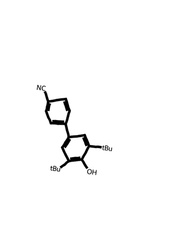 CC(C)(C)c1cc(-c2ccc(C#N)cc2)cc(C(C)(C)C)c1O